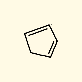 [C]1=CCC=C1